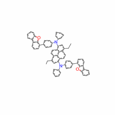 CCc1cc(N(c2ccccc2)c2ccc(-c3cccc4c3oc3ccccc34)cc2)c2ccc3c(CC)cc(N(c4ccccc4)c4ccc(-c5cccc6c5oc5ccccc56)cc4)c4ccc1c2c34